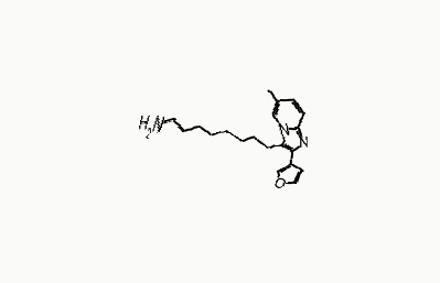 Cc1ccc2nc(-c3ccoc3)c(CCCCCCCCN)n2c1